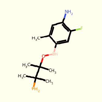 Cc1cc(N)c(F)cc1BOC(C)(C)C(C)(C)P